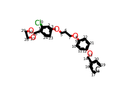 Clc1cc(OCCCOc2ccc(OCc3ccccc3)cc2)ccc1C1OCCO1